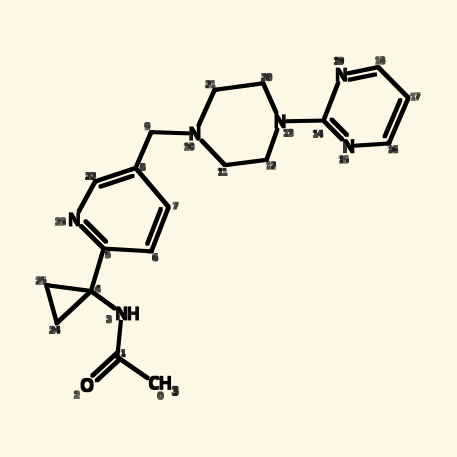 CC(=O)NC1(c2ccc(CN3CCN(c4ncccn4)CC3)cn2)CC1